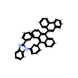 c1ccc(-c2nc3ccccc3n2-c2cccc(-c3c4ccccc4c(-c4cc5ccccc5c5ccccc45)c4ccccc34)c2)cc1